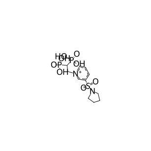 O=P(O)(O)C(C[n+]1cccc(S(=O)(=O)N2CCCC2)c1)P(=O)(O)O